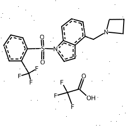 O=C(O)C(F)(F)F.O=S(=O)(c1ccccc1C(F)(F)F)n1ccc2c(CN3CCC3)cccc21